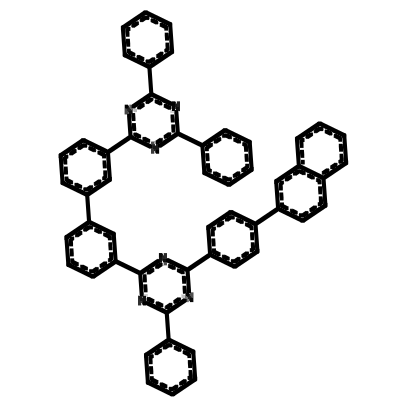 c1ccc(-c2nc(-c3ccccc3)nc(-c3cccc(-c4cccc(-c5nc(-c6ccccc6)nc(-c6ccc(-c7ccc8ccccc8c7)cc6)n5)c4)c3)n2)cc1